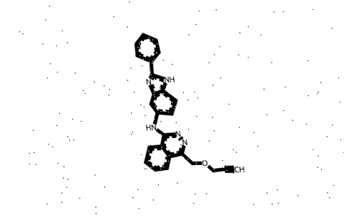 C#CCOCc1nnc(Nc2ccc3[nH]c(-c4ccccc4)nc3c2)c2ccccc12